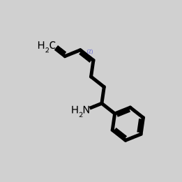 C=C/C=C\CCC(N)c1ccccc1